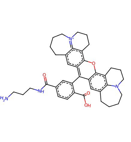 NCCCNC(=O)c1ccc(C(=O)O)c(C2=c3cc4c5c(c3Oc3c2cc2c6c3CCCN6CCCC2)CCC[N+]=5CCCC4)c1